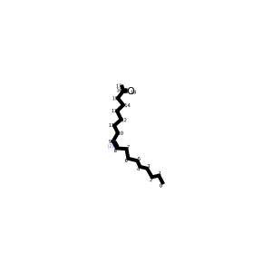 CCCCCCCC/C=C\CCCCCCC(C)=O